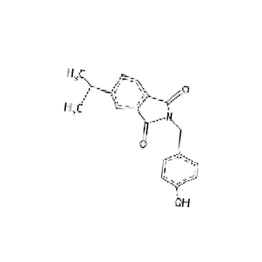 CC(C)c1ccc2c(c1)C(=O)N(Cc1ccc(O)cc1)C2=O